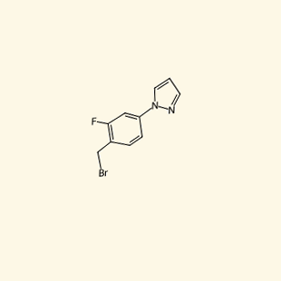 Fc1cc(-n2cccn2)ccc1CBr